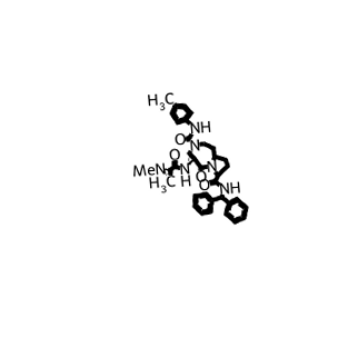 CN[C@@H](C)C(=O)N[C@H]1CN(C(=O)Nc2ccc(C)cc2)CCC2CCC(C(=O)NC(c3ccccc3)c3ccccc3)N2C1=O